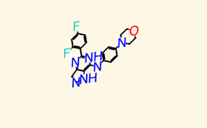 Fc1ccc(-c2nc(Nc3ccc(N4CCOCC4)cc3)c3[nH]ncc3n2)c(F)c1